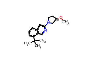 CO[C@H]1CCN(c2cc3cccc(C(C)(C)C)c3cn2)C1